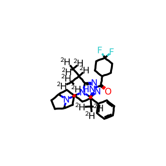 [2H]C([2H])([2H])c1nnc(C([2H])(C([2H])([2H])[2H])C([2H])([2H])[2H])n1C1CC2CCC(C1)N2CCC(NC(=O)C1CCC(F)(F)CC1)c1ccccc1